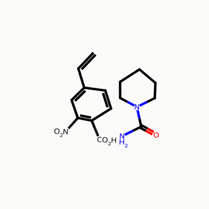 C=Cc1ccc(C(=O)O)c([N+](=O)[O-])c1.NC(=O)N1CCCCC1